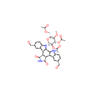 CO[C@H]1[C@H](OC(C)=O)[C@@H](OC(C)=O)[C@H](n2c3ccc(C=O)cc3c3c4c(c5c6cc(C=O)ccc6[nH]c5c32)C(=O)NC4=O)O[C@@H]1COC(C)=O